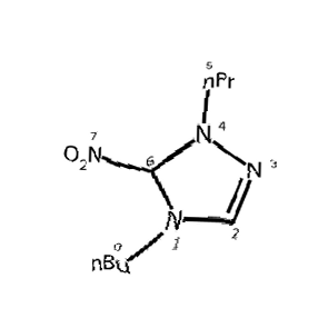 CCCCN1C=NN(CCC)C1[N+](=O)[O-]